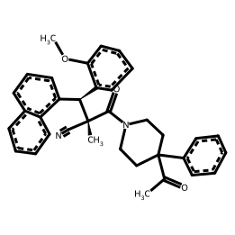 COc1ccccc1[C@H](c1cccc2ccccc12)[C@@](C)(C#N)C(=O)N1CCC(C(C)=O)(c2ccccc2)CC1